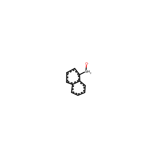 [O][SiH2]c1cccc2ccccc12